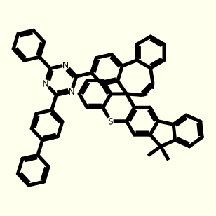 CC1(C)c2ccccc2-c2cc3c(cc21)Sc1ccccc1C31c2ccccc2-c2ccccc2-c2ccc(-c3nc(-c4ccccc4)nc(-c4ccc(-c5ccccc5)cc4)n3)cc21